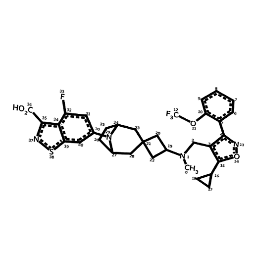 CN(Cc1c(-c2ccccc2OC(F)(F)F)noc1C1CC1)C1CC2(C1)CC1CCC(C2)N1c1cc(F)c2c(C(=O)O)nsc2c1